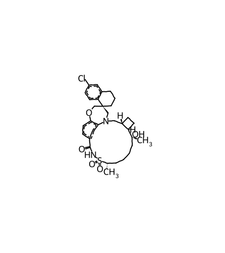 C[C@H]1CCCC[C@@](C)(O)[C@@H]2CC[C@H]2CN2C[C@@]3(CCCc4cc(Cl)ccc43)COc3ccc(cc32)C(=O)NS1(=O)=O